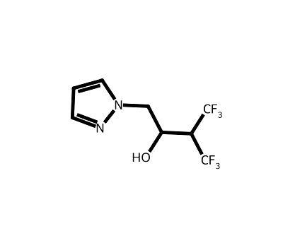 OC(Cn1cccn1)C(C(F)(F)F)C(F)(F)F